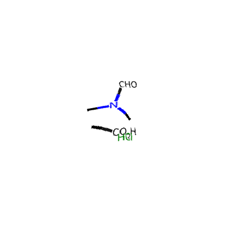 CC(=O)O.CN(C)C=O.Cl